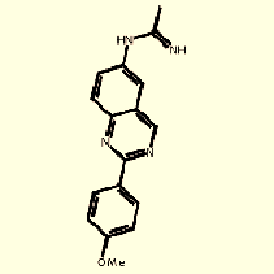 COc1ccc(-c2ncc3cc(NC(C)=N)ccc3n2)cc1